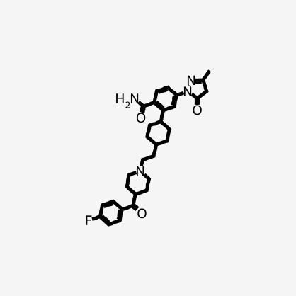 CC1=NN(c2ccc(C(N)=O)c(C3CCC(CCN4CCC(C(=O)c5ccc(F)cc5)CC4)CC3)c2)C(=O)C1